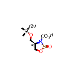 CC(C)(C)[Si](C)(C)OC[C@@H]1COS(=O)N1C(=O)O